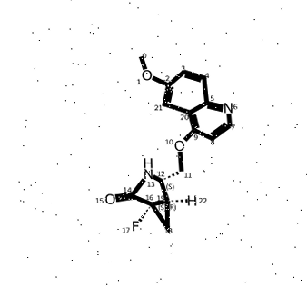 COc1ccc2nccc(OC[C@H]3NC(=O)[C@]4(F)C[C@H]34)c2c1